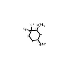 CCCC1CCC(F)(F)C(C)C1